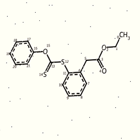 CCOC(=O)Cc1ccccc1SC(=S)Oc1ccccc1